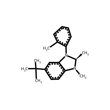 Cc1ccccc1N1c2cc(C(C)(C)C)ccc2N(C)[C@@H]1C